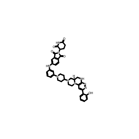 O=C1CCC(N2C(=O)c3ccc(Nc4cccc(N5CCC(N6CCN7c8cc(-c9ccccc9O)nnc8NC[C@H]7C6)CC5)c4)cc3C2=O)C(=O)N1